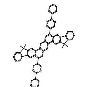 CC1(C)c2ccccc2-c2cc3c(-c4cnc(-c5ccccc5)nc4)cc4cc5c(cc(-c6cnc(-c7ccccc7)nc6)c6cc7c(cc65)C(C)(C)c5ccccc5-7)cc4c3cc21